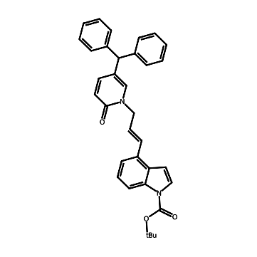 CC(C)(C)OC(=O)n1ccc2c(C=CCn3cc(C(c4ccccc4)c4ccccc4)ccc3=O)cccc21